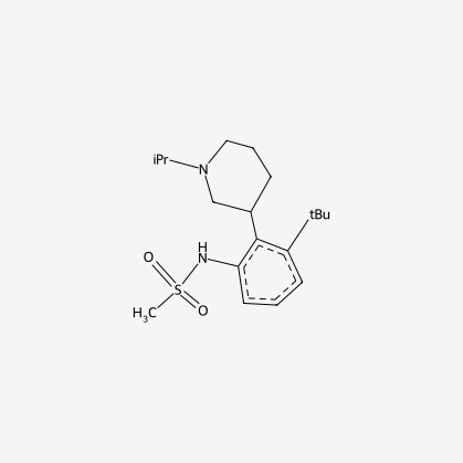 CC(C)N1CCCC(c2c(NS(C)(=O)=O)cccc2C(C)(C)C)C1